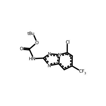 CC(C)(C)OC(=O)Nc1nc2cc(C(F)(F)F)cc(Cl)n2n1